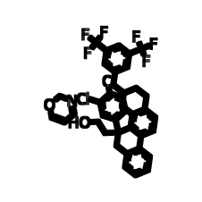 C1=COCN=C1.OCCC1(c2ccc(Cl)c(Cl)c2)Cc2ccccc2-c2ccc3c(c21)CC(Cc1cc(C(F)(F)F)cc(C(F)(F)F)c1)CC3